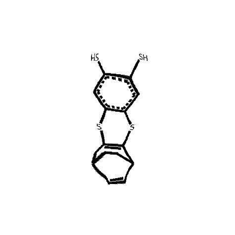 Sc1cc2c(cc1S)SC1=C(S2)C2C=CC1CC2